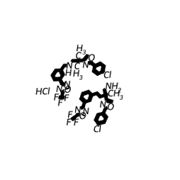 CC(C)(CNCc1cccc(-c2noc(C(F)(F)F)n2)c1)c1coc(-c2ccc(Cl)cc2)n1.CC(CN)(CCc1cccc(-c2noc(C(F)(F)F)n2)c1)c1coc(-c2ccc(Cl)cc2)n1.Cl